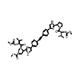 COC(=O)NC(C(=O)N1CCCC1c1nc(-c2ccc(C#Cc3ccc(-c4c[nH]c(C5CN(C(=O)OC)CN5C(=O)C(NC(=O)OC)C(C)C)n4)cc3)cc2)c[nH]1)C(C)C